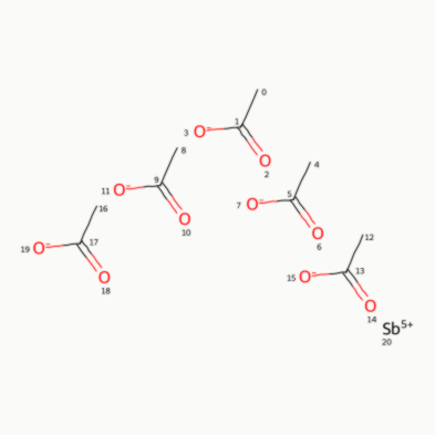 CC(=O)[O-].CC(=O)[O-].CC(=O)[O-].CC(=O)[O-].CC(=O)[O-].[Sb+5]